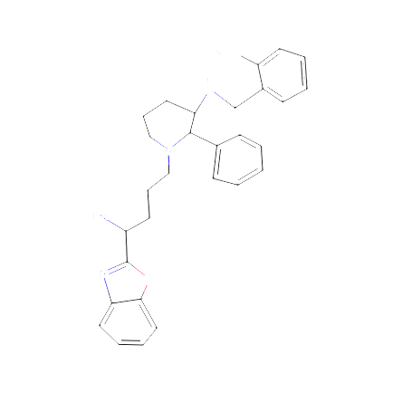 COc1ccccc1CNC1CCCN(CCCC(N)c2nc3ccccc3o2)C1c1ccccc1